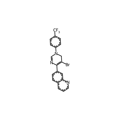 FC(F)(F)c1ccc(N2C=NC(c3ccc4cccnc4c3)=C(Br)C2)cc1